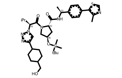 Cc1ncsc1-c1ccc([C@H](C)NC(=O)[C@@H]2C[C@@H](O[Si](C)(C)C(C)(C)C)CN2C(=O)[C@H](C(C)C)n2cc(C3CCC(CO)CC3)nn2)cc1